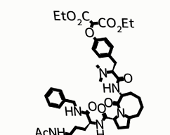 CCOC(=O)C(Oc1ccc(C[C@@H](C(=O)N[C@H]2CCCCC3CC[C@@H](C(=O)N[C@@H](CCCNC(C)=O)C(=O)NCc4ccccc4)N3C2=O)N(C)C)cc1)C(=O)OCC